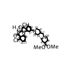 COC(OC)C1CCN(CC2CCN(c3ccc4c(c3)-n3c(nc(=O)c5c(Cl)cccc53)C4(C)C)CC2)CC1